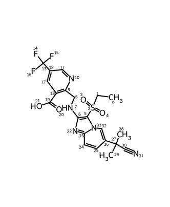 CCS(=O)(=O)c1c(NCc2ncc(C(F)(F)F)cc2C(=O)O)nc2ccc(C(C)(C)C#N)cn12